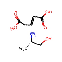 C[C@H](N)CO.O=C(O)C=CC(=O)O